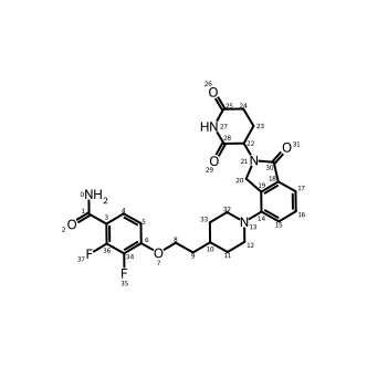 NC(=O)c1ccc(OCCC2CCN(c3cccc4c3CN(C3CCC(=O)NC3=O)C4=O)CC2)c(F)c1F